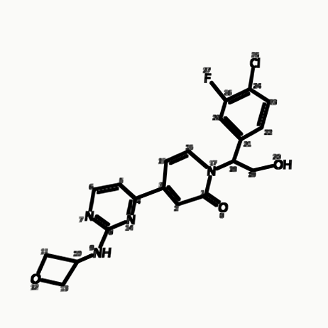 O=c1cc(-c2ccnc(NC3COC3)n2)ccn1C(CO)c1ccc(Cl)c(F)c1